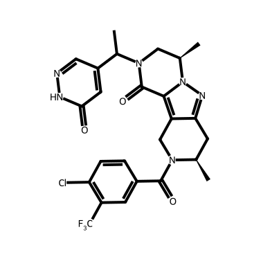 CC(c1cn[nH]c(=O)c1)N1C[C@@H](C)n2nc3c(c2C1=O)CN(C(=O)c1ccc(Cl)c(C(F)(F)F)c1)[C@H](C)C3